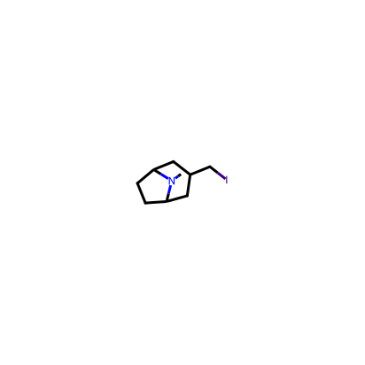 CN1C2CCC1CC(CI)C2